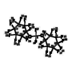 FC(F)(OC1(F)C(F)(F)C(F)(F)C(F)(F)C(F)(F)C1(F)F)OC1(F)C(F)(F)C(F)(F)C(F)(F)C(F)(F)C1(F)F